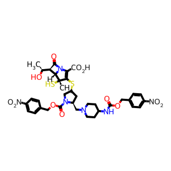 C[C@@H](O)[C@H]1C(=O)N2C(C(=O)O)=C(S[C@H]3C[C@@H](CN4CCC(NC(=O)OCc5ccc([N+](=O)[O-])cc5)CC4)N(C(=O)OCc4ccc([N+](=O)[O-])cc4)C3)[C@](C)(S)[C@H]12